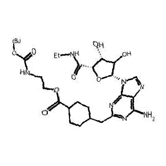 CCNC(=O)[C@H]1O[C@@H](n2cnc3c(N)nc(CC4CCC(C(=O)OCCNC(=O)OC(C)(C)C)CC4)nc32)C(O)[C@H]1O